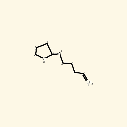 C=CCCCOC1CCCO1